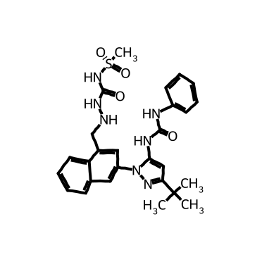 CC(C)(C)c1cc(NC(=O)Nc2ccccc2)n(-c2cc(CNNC(=O)NS(C)(=O)=O)c3ccccc3c2)n1